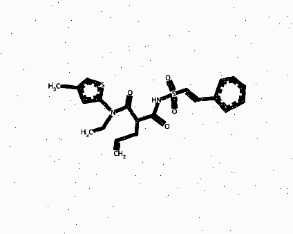 C=CCC(C(=O)NS(=O)(=O)C=Cc1ccccc1)C(=O)N(CC)c1cc(C)cs1